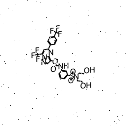 O=C(Nc1cccc(S(=O)(=O)N(CCO)CCO)c1)Oc1cnn2c(C(F)(F)F)cc(-c3ccc(C(F)(F)F)cc3)nc12